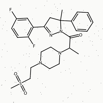 CC(C(=O)N1N=C(c2cc(F)ccc2F)CC1(C)c1ccccc1)N1CCN(CCS(C)(=O)=O)CC1